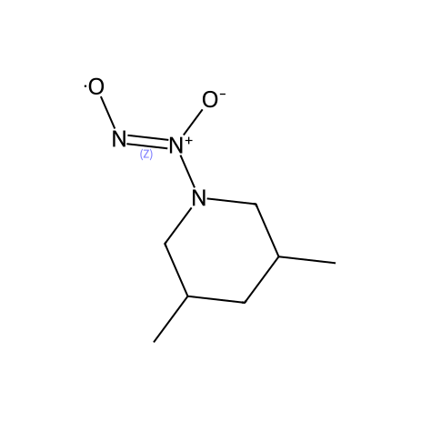 CC1CC(C)CN(/[N+]([O-])=N/[O])C1